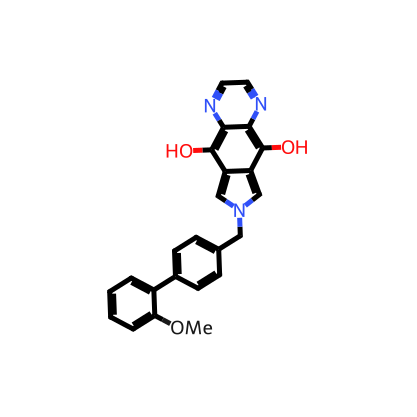 COc1ccccc1-c1ccc(Cn2cc3c(O)c4nccnc4c(O)c3c2)cc1